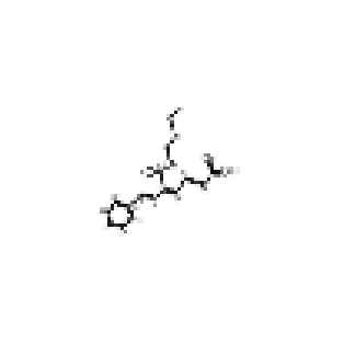 CCCCOC(=O)C(C=Cc1ccccc1)=CC=CC(=O)O